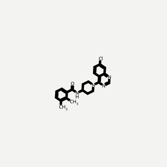 Cc1cccc(C(=O)NC2CCN(c3ncnc4cc(Cl)ccc34)CC2)c1C